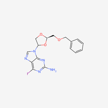 Nc1nc(I)c2ncn(C3CO[C@@H](COCc4ccccc4)O3)c2n1